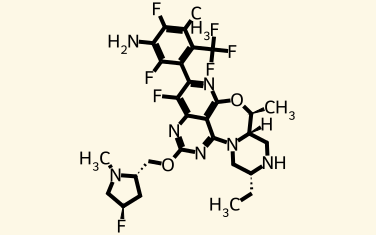 CC[C@@H]1CN2c3nc(OC[C@@H]4C[C@@H](F)CN4C)nc4c(F)c(-c5c(F)c(N)c(F)c(C)c5C(F)(F)F)nc(c34)O[C@@H](C)[C@@H]2CN1